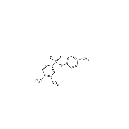 Cc1ccc(OS(=O)(=O)c2ccc(N)c([N+](=O)[O-])c2)cc1